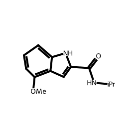 COc1cccc2[nH]c(C(=O)NC(C)C)cc12